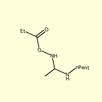 CCCCCNC(C)NOC(=O)CC